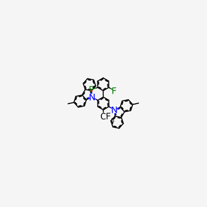 Cc1ccc2c(c1)c1ccccc1n2-c1cc(C(F)(F)F)c(-n2c3ccccc3c3cc(C)ccc32)cc1-c1c(F)cccc1F